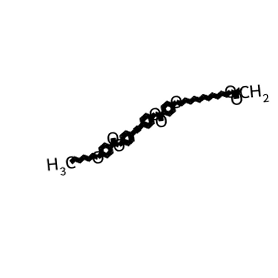 C=CC(=O)OCCCCCCCCCCCOC1CCC(C(=O)Oc2ccc(C#Cc3ccc(OC(=O)C4CCC(OCCCCCC)CC4)cc3)cc2)CC1